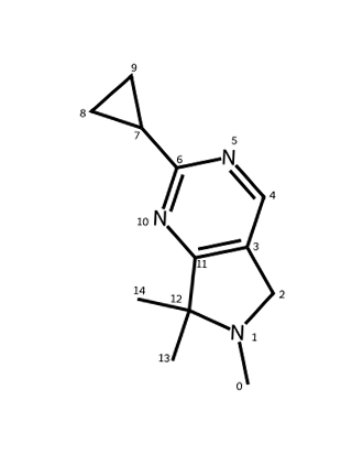 CN1Cc2cnc(C3CC3)nc2C1(C)C